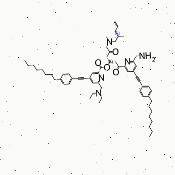 C=C/C=C(\C)CN(C)CC(=O)C[C@H](CC(=O)c1cc(C#Cc2ccc(CCCCCCCC)cc2)cc(CN)n1)OC(=O)c1cc(C#Cc2ccc(CCCCCCCC)cc2)cc(CN(CC)CC)n1